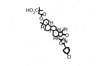 CC(C)C1=C2[C@H]3CC[C@@H]4[C@@]5(C)CC[C@H](OC(=O)CC(C)(C)C(=O)O)C(C)(C)[C@@H]5CC[C@@]4(C)[C@]3(C)CC[C@@]2(Nc2nnc(-c3ccc(Cl)cc3)o2)CC1=O